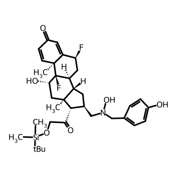 CC(C)(C)[Si](C)(C)OCC(=O)[C@H]1[C@H](CN(O)Cc2ccc(O)cc2)C[C@H]2[C@@H]3C[C@H](F)C4=CC(=O)C=C[C@]4(C)[C@@]3(F)[C@@H](O)C[C@@]21C